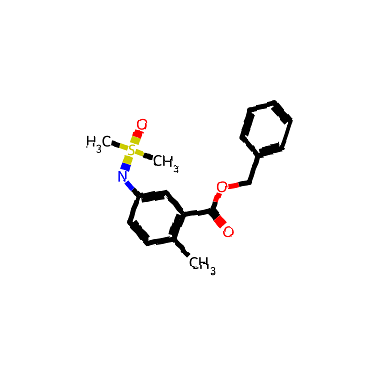 Cc1ccc(N=S(C)(C)=O)cc1C(=O)OCc1ccccc1